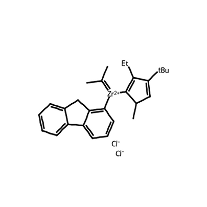 CCC1=[C]([Zr+2](=[C](C)C)[c]2cccc3c2Cc2ccccc2-3)C(C)C=C1C(C)(C)C.[Cl-].[Cl-]